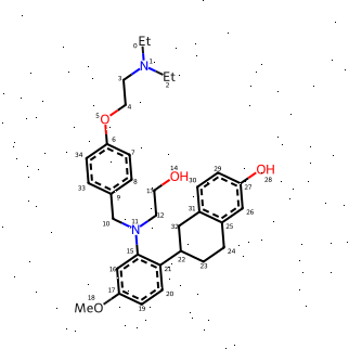 CCN(CC)CCOc1ccc(CN(CCO)c2cc(OC)ccc2C2CCc3cc(O)ccc3C2)cc1